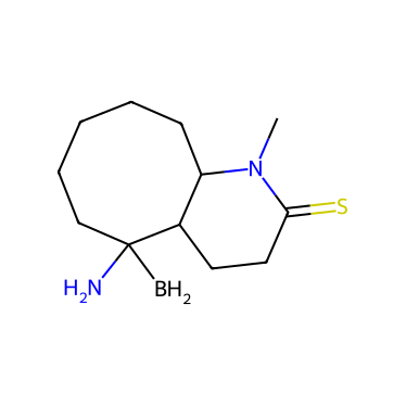 BC1(N)CCCCCC2C1CCC(=S)N2C